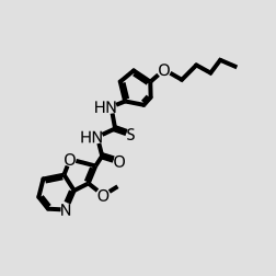 CCCCCOc1ccc(NC(=S)NC(=O)c2oc3cccnc3c2OC)cc1